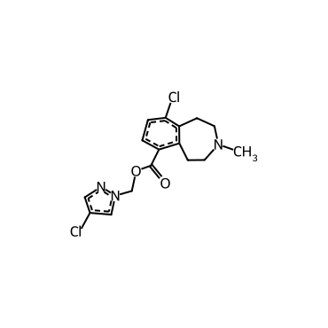 CN1CCc2c(Cl)ccc(C(=O)OCn3cc(Cl)cn3)c2CC1